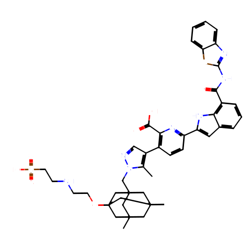 Cc1c(-c2ccc(-c3cc4cccc(C(=O)Nc5nc6ccccc6s5)c4[nH]3)nc2C(=O)O)cnn1CC12CC3(C)CC(C)(C1)CC(OCCNCCS(=O)(=O)O)(C3)C2